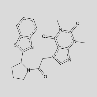 Cn1c(=O)c2c(ncn2CC(=O)N2CCCC2c2nc3ccccc3s2)n(C)c1=O